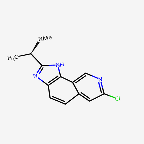 CN[C@H](C)c1nc2ccc3cc(Cl)ncc3c2[nH]1